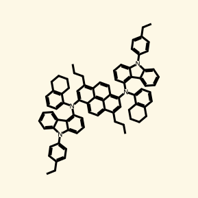 CCCc1cc(N(c2cccc3c2CCCC3)c2cccc3c2c2ccccc2n3-c2ccc(CC)cc2)c2ccc3c(CCC)cc(N(c4cccc5c4CCCC5)c4cccc5c4c4ccccc4n5-c4ccc(CC)cc4)c4ccc1c2c34